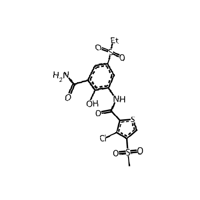 CCS(=O)(=O)c1cc(NC(=O)c2scc(S(C)(=O)=O)c2Cl)c(O)c(C(N)=O)c1